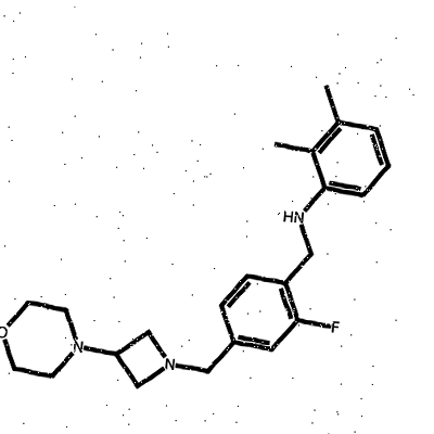 Cc1cccc(NCc2ccc(CN3CC(N4CCOCC4)C3)cc2F)c1C